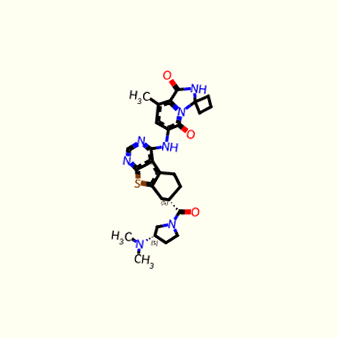 Cc1cc(Nc2ncnc3sc4c(c23)CC[C@H](C(=O)N2CC[C@H](N(C)C)C2)C4)c(=O)n2c1C(=O)NC21CCC1